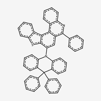 c1ccc(-c2nc3ccccc3c3c2cc(N2c4ccccc4C(c4ccccc4)(c4ccccc4)c4ccccc42)c2sc4ccccc4c23)cc1